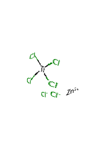 [Cl-].[Cl-].[Cl][Ti]([Cl])([Cl])[Cl].[Zn+2]